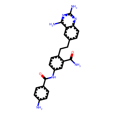 NC(=O)c1cc(NC(=O)c2ccc(N)cc2)ccc1CCc1ccc2nc(N)nc(N)c2c1